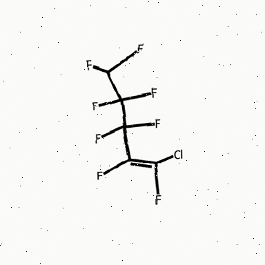 FC(Cl)=C(F)C(F)(F)C(F)(F)C(F)F